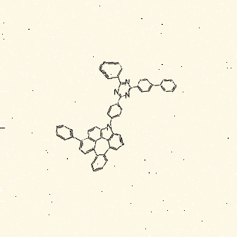 c1ccc(-c2ccc(-c3nc(-c4ccccc4)nc(-c4ccc(-n5c6cccc7c6c6c8c(ccc(-c9ccccc9)c8ccc65)-c5ccccc5-7)cc4)n3)cc2)cc1